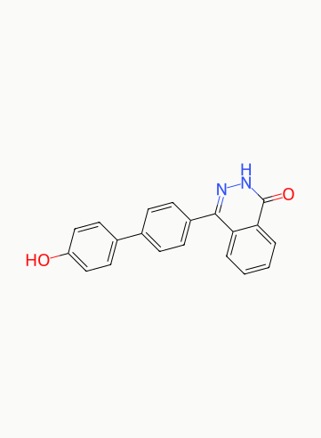 O=c1[nH]nc(-c2ccc(-c3ccc(O)cc3)cc2)c2ccccc12